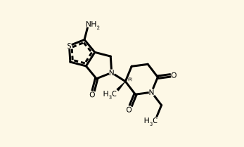 CCN1C(=O)CC[C@@](C)(N2Cc3c(csc3N)C2=O)C1=O